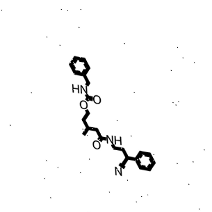 CC(CCOC(=O)NCc1ccccc1)CC(=O)NCCC(C#N)c1ccccc1